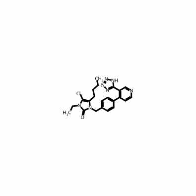 CCCCc1c(Cl)n(CC)c(=O)n1Cc1ccc(-c2ccncc2-c2nnn[nH]2)cc1